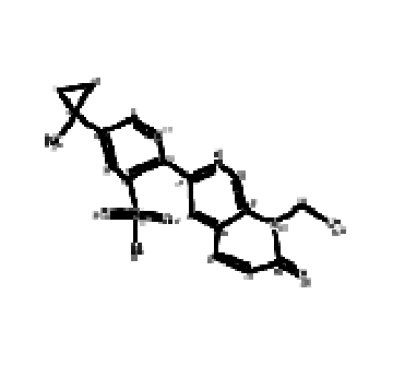 CCS(=O)(=O)c1cc(C2(C#N)CC2)cnc1-c1cc2ccc(=O)n(CC(F)(F)F)c2cn1